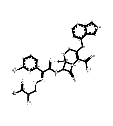 CC(CON=C(C(=O)NC1C(=O)N2C(C(=O)O)=C(Cc3ccnc4cscc34)CS[C@@H]12)c1cccc(N)n1)C(=O)O